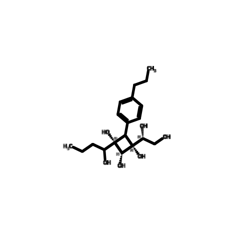 CCCc1ccc(C2[C@](O)(C(O)CCC)[C@@H](O)[C@]2(O)[C@H](O)CO)cc1